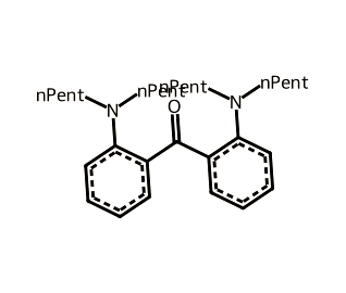 CCCCCN(CCCCC)c1ccccc1C(=O)c1ccccc1N(CCCCC)CCCCC